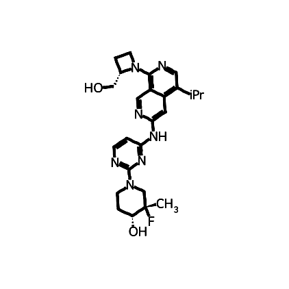 CC(C)c1cnc(N2CC[C@H]2CO)c2cnc(Nc3ccnc(N4CC[C@@H](O)[C@@](C)(F)C4)n3)cc12